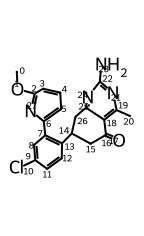 COc1cccc(-c2cc(Cl)ccc2C2CC(=O)c3c(C)nc(N)nc3C2)n1